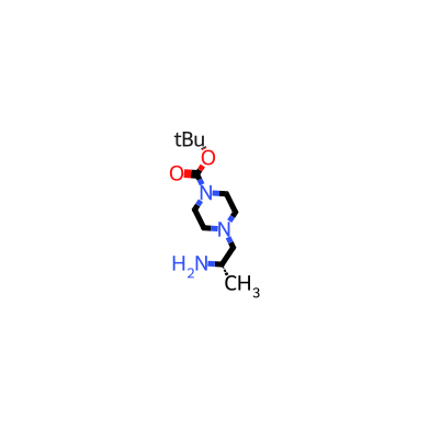 C[C@H](N)CN1CCN(C(=O)OC(C)(C)C)CC1